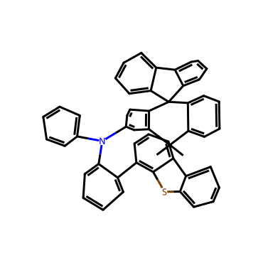 CC1(C)c2ccccc2C2(c3ccccc3-c3ccccc32)c2ccc(N(c3ccccc3)c3ccccc3-c3cccc4c3sc3ccccc34)cc21